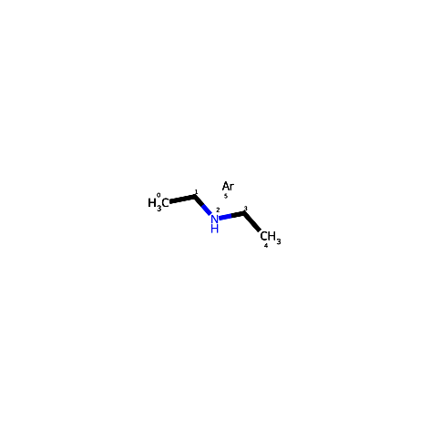 CCNCC.[Ar]